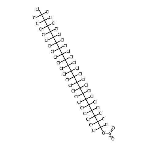 O=[SH](=O)OC(Cl)(Cl)C(Cl)(Cl)C(Cl)(Cl)C(Cl)(Cl)C(Cl)(Cl)C(Cl)(Cl)C(Cl)(Cl)C(Cl)(Cl)C(Cl)(Cl)C(Cl)(Cl)C(Cl)(Cl)C(Cl)(Cl)C(Cl)(Cl)C(Cl)(Cl)C(Cl)(Cl)C(Cl)(Cl)C(Cl)(Cl)C(Cl)(Cl)C(Cl)(Cl)C(Cl)(Cl)C(Cl)(Cl)Cl